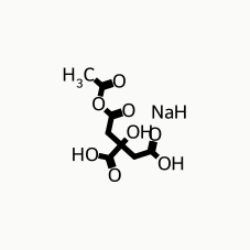 CC(=O)OC(=O)CC(O)(CC(=O)O)C(=O)O.[NaH]